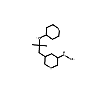 CC(C)(C)NC1COCC(CC(C)(C)NC2CCOCC2)C1